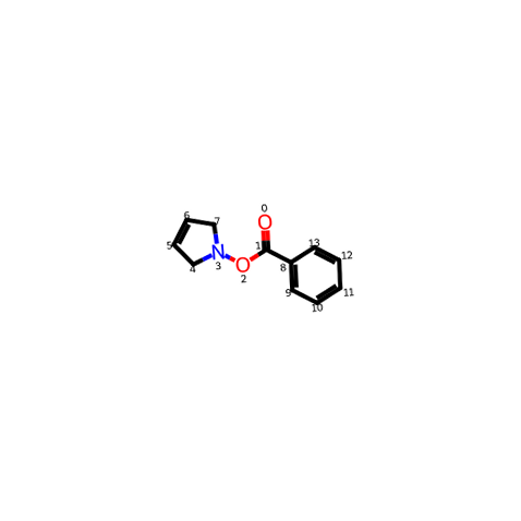 O=C(ON1CC=CC1)c1ccccc1